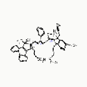 C#CCC1(C)/C(=C(C)/C=C(/C=C/C2=[N+](CCC(=O)O)c3c(c4ccccc4c4ccccc34)C2(C)C)c2ccccc2)N(CCOC=O)c2ccc([N+](=O)[O-])cc21